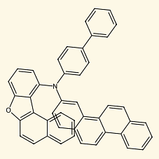 c1ccc(-c2ccc(N(c3ccc4ccc5c6ccccc6ccc5c4c3)c3cccc4oc5ccc6ccccc6c5c34)cc2)cc1